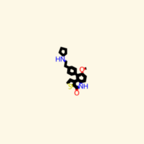 COc1ccc2[nH]c(=O)c3sccc3c2c1-c1ccc(CCNC2CCCC2)cc1